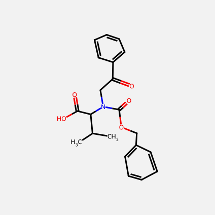 CC(C)C(C(=O)O)N(CC(=O)c1ccccc1)C(=O)OCc1ccccc1